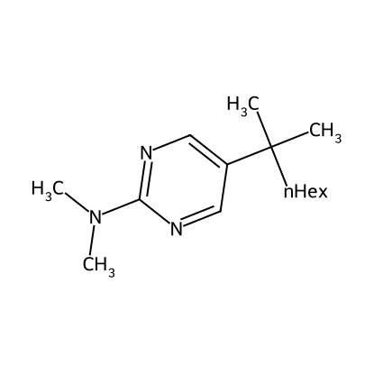 CCCCCCC(C)(C)c1cnc(N(C)C)nc1